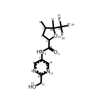 CC1CC(C(=O)Nc2cnc(CO)nc2)OC1(C)C(F)(F)F